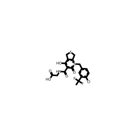 CC(F)(F)c1cc(Cn2c3c(c(O)c(C(=O)NCC(=O)O)c2=O)CSC3)ccc1Cl